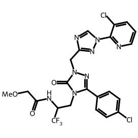 COCC(=O)NC(Cn1c(-c2ccc(Cl)cc2)nn(Cc2ncn(-c3ncccc3Cl)n2)c1=O)C(F)(F)F